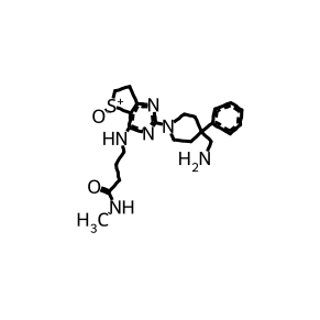 CNC(=O)CCCNc1nc(N2CCC(CN)(c3ccccc3)CC2)nc2c1[S+]([O-])CC2